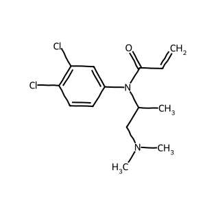 C=CC(=O)N(c1ccc(Cl)c(Cl)c1)C(C)CN(C)C